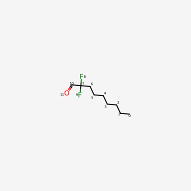 CCCCCCCC(F)(F)C=O